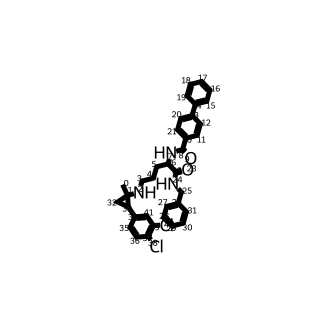 CC1(NCCCC(NC(=O)c2ccc(-c3ccccc3)cc2)C(=O)NCc2ccccc2)CC1c1ccc(Cl)c(Cl)c1